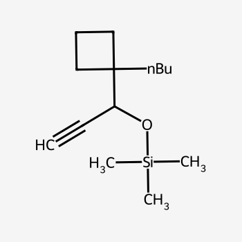 C#CC(O[Si](C)(C)C)C1(CCCC)CCC1